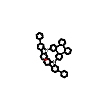 c1ccc(-c2ccc3c4ccccc4n(-c4ccc5c(c4)-c4cc(-n6c7ccccc7c7ccc(-c8ccccc8)cc76)ccc4-c4ccccc4-c4ccccc4-5)c3c2)cc1